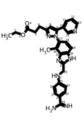 CCOC(=O)CCc1cc(-c2cccnc2)n(-c2ccc3[nH]c(CNc4ccc(C(=N)N)cc4)nc3c2C)n1